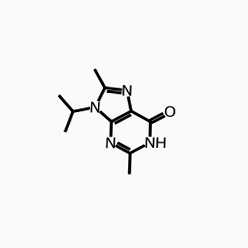 Cc1nc2c(nc(C)n2C(C)C)c(=O)[nH]1